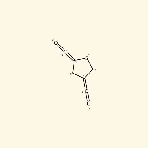 O=C=C1CSC(=C=O)C1